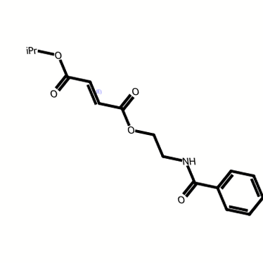 CC(C)OC(=O)/C=C/C(=O)OCCNC(=O)c1ccccc1